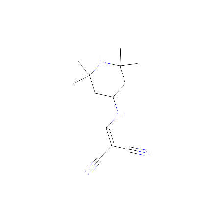 CC1(C)CC(NC=C(C#N)C#N)CC(C)(C)N1